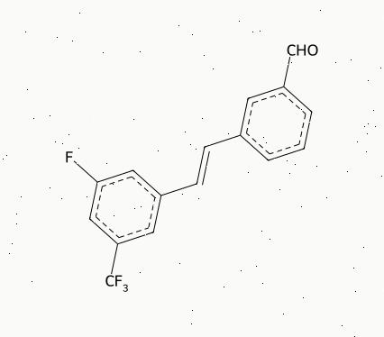 O=Cc1cccc(/C=C/c2cc(F)cc(C(F)(F)F)c2)c1